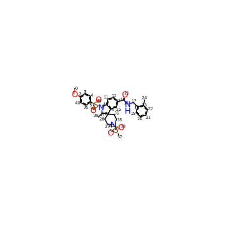 COc1ccc(S(=O)(=O)N2c3ccc(C(=O)NCc4ccccc4C)cc3C3(CCN(S(C)(=O)=O)CC3)C2C)cc1